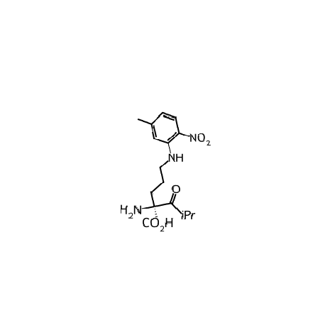 Cc1ccc([N+](=O)[O-])c(NCCC[C@@](N)(C(=O)O)C(=O)C(C)C)c1